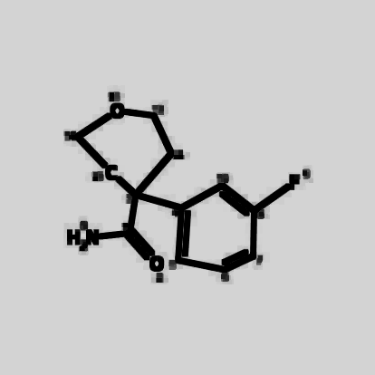 NC(=O)C1(c2cccc(F)c2)CCOCC1